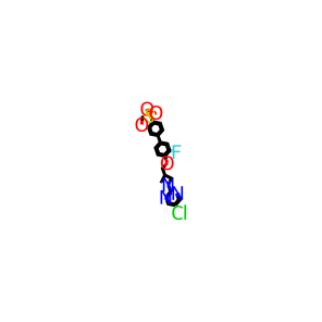 O=S1(=O)COc2cc(-c3ccc(OCC4CN(c5ncc(Cl)cn5)C4)c(F)c3)ccc21